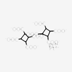 O=C([O-])C1C(C(=O)[O-])C(C(=O)[O-])C1C(=O)[O-].O=C([O-])C1C(C(=O)[O-])C(C(=O)[O-])C1C(=O)[O-].[Pt+4].[Pt+4]